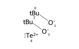 CC(C)(C)[O-].CC(C)(C)[O-].[Te+2]